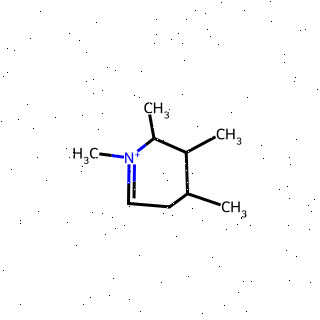 CC1CC=[N+](C)C(C)C1C